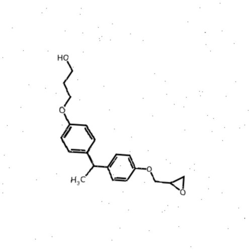 CC(c1ccc(OCCCO)cc1)c1ccc(OCC2CO2)cc1